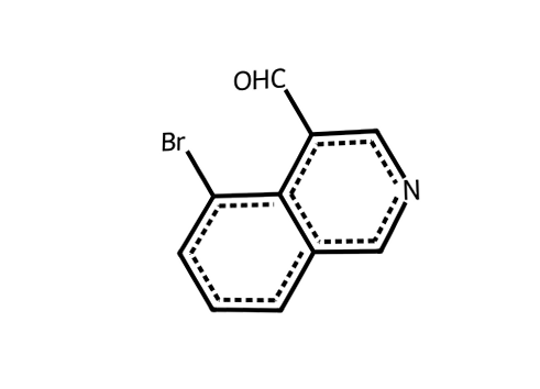 O=Cc1cncc2cccc(Br)c12